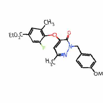 CCOC(=O)c1cc(C)c(Oc2cc(C)nn(Cc3ccc(OC)cc3)c2=O)c(F)c1